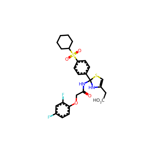 O=C(O)CC1=CSC(NC(=O)COc2ccc(F)cc2F)(c2ccc(S(=O)(=O)C3CCCCC3)cc2)N1